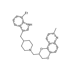 CCc1cccc2c(CC3CCN(CC4COc5ccc6nc(C)ccc6c5O4)CC3)c[nH]c12